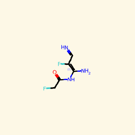 N=C/C(F)=C(\N)NC(=O)CF